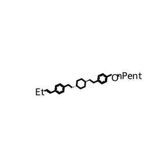 CCC=Cc1ccc(CC[C@H]2CC[C@H](CCc3ccc(COCCCCC)cc3)CC2)cc1